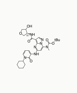 CN(C(=O)OC(C)(C)C)c1cc(Nc2cccn(C3CCCCC3)c2=O)nc2c(C(=O)N[C@H]3COCC3O)cnn12